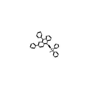 C[Si](C#Cc1c2ccccc2c(-c2ccccc2)c2cc(-c3ccccc3)ccc12)(c1ccccc1)c1ccccc1